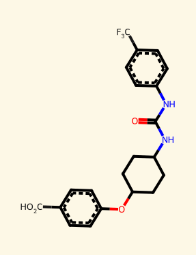 O=C(Nc1ccc(C(F)(F)F)cc1)NC1CCC(Oc2ccc(C(=O)O)cc2)CC1